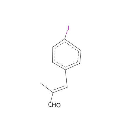 CC(C=O)=Cc1ccc(I)cc1